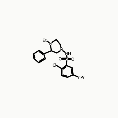 CCCc1ccc(Cl)c(S(=O)(=O)NN2CCN(CC)C(c3ccccc3)C2)c1